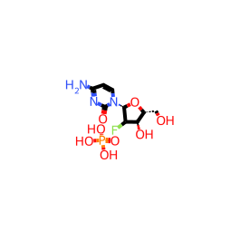 Nc1ccn([C@@H]2O[C@H](CO)[C@@H](O)C2F)c(=O)n1.O=P(O)(O)O